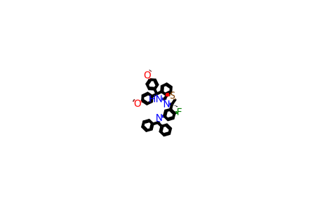 COc1ccc(C(NC2=N[C@](C)(c3cc(N=C(c4ccccc4)c4ccccc4)ccc3F)CSC2)(c2ccccc2)c2ccc(OC)cc2)cc1